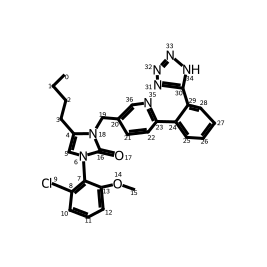 CCCCc1cn(-c2c(Cl)cccc2OC)c(=O)n1Cc1ccc(-c2ccccc2-c2nnn[nH]2)nc1